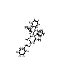 CN1CC(CCc2ccccc2[N+](=O)[O-])(c2nnn[nH]2)C=CC1OCc1ccccc1